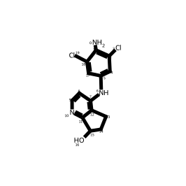 Nc1c(Cl)cc(Nc2ccnc3c2CCC3O)cc1Cl